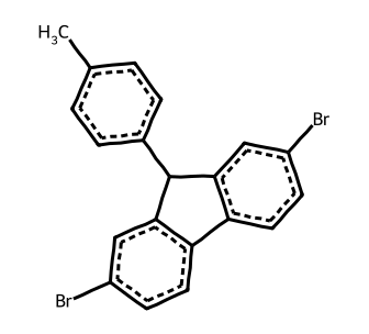 Cc1ccc(C2c3cc(Br)ccc3-c3ccc(Br)cc32)cc1